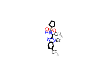 CCn1c([C@@H](C)NS(=O)(=O)C2CCCC2)nc2ccc(C(F)(F)F)cc21